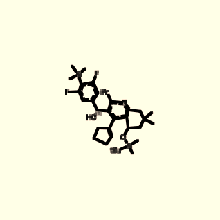 CC(C)c1nc2c(c(C3=CCCC3)c1[C@H](O)c1cc(F)c([Si](C)(C)C)c(F)c1)C(O[Si](C)(C)C(C)(C)C)CC(C)(C)C2